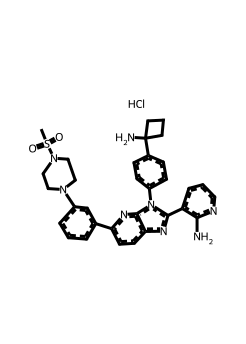 CS(=O)(=O)N1CCN(c2cccc(-c3ccc4nc(-c5cccnc5N)n(-c5ccc(C6(N)CCC6)cc5)c4n3)c2)CC1.Cl